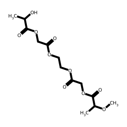 COC(C)C(=O)OCC(=O)OCCOC(=O)COC(=O)C(C)O